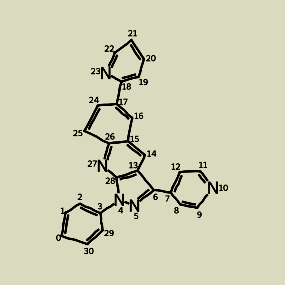 c1ccc(-n2nc(-c3ccncc3)c3cc4cc(-c5ccccn5)ccc4nc32)cc1